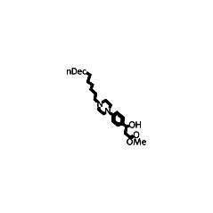 CCCCCCCCCCCCCCCCN1CCN(c2ccc(C(O)CC(=O)OC)cc2)CC1